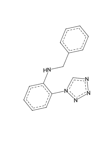 c1ccc(CNc2ccccc2-n2cnnn2)cc1